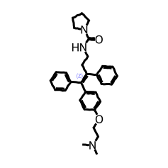 CN(C)CCOc1ccc(/C(=C(/CCNC(=O)N2CCCC2)c2ccccc2)c2ccccc2)cc1